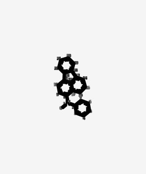 CN(c1ccccc1)c1ccc2c3c(cccc13)-c1ccccc1-2